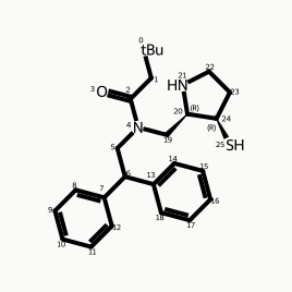 CC(C)(C)CC(=O)N(CC(c1ccccc1)c1ccccc1)C[C@H]1NCC[C@H]1S